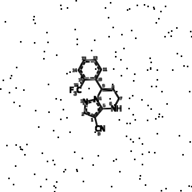 N#Cc1cnn2c1NCC=C2c1ccccc1C(F)(F)F